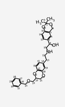 CC1(C)OCc2cc([C@@H](O)CNCCc3ccc4c(c3)OCC(COCc3ccccc3)O4)ccc2O1